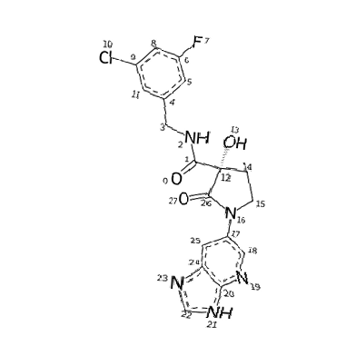 O=C(NCc1cc(F)cc(Cl)c1)[C@@]1(O)CCN(c2cnc3[nH]cnc3c2)C1=O